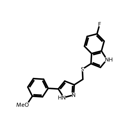 COc1cccc(-c2cc(CSc3c[nH]c4cc(F)ccc34)n[nH]2)c1